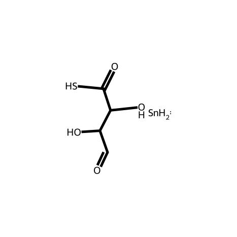 O=CC(O)C(O)C(=O)S.[SnH2]